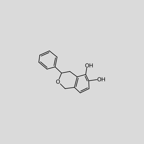 Oc1ccc2c(c1O)CC(c1ccccc1)OC2